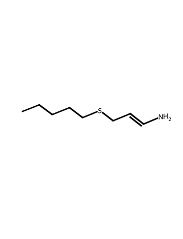 CCCCCSCC=CN